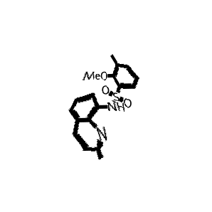 COc1c(C)cccc1S(=O)(=O)Nc1cccc2ccc(C)nc12